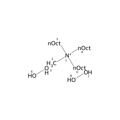 CCCCCCCC[N+](C)(CCCCCCCC)CCCCCCCC.OO.OO